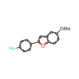 COc1ccc2oc(-c3ccc([18F])cc3)cc2c1